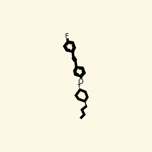 CCCC[C@H]1CC[C@H](COc2ccc(C#Cc3ccc(F)cc3)cc2)CC1